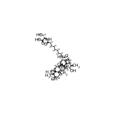 C=C(CO)[C@@H]1CC[C@]2(C(=O)NCCCCCCCC(=O)N[C@@H](CO)C(=O)O)CC[C@]3(C)[C@H](CCC4[C@@]5(C)CC[C@H](O)C(C)(C)[C@@H]5CC[C@]43C)[C@@H]12